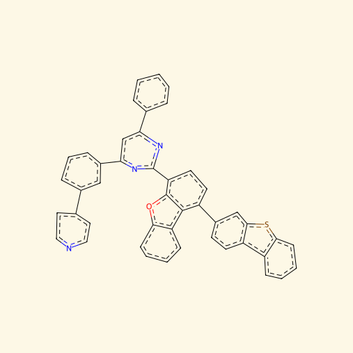 c1ccc(-c2cc(-c3cccc(-c4ccncc4)c3)nc(-c3ccc(-c4ccc5c(c4)sc4ccccc45)c4c3oc3ccccc34)n2)cc1